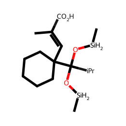 C[SiH2]OC(O[SiH2]C)(C(C)C)C1(C=C(C)C(=O)O)CCCCC1